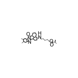 C=C(C)C(=O)OCCCCCNc1ccc2c3c1cccc3c(=O)n1c3cc(C)c(C)cc3nc21